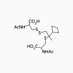 CC(=O)NC(CSSCC(C)(SCC(NC(C)=O)C(=O)O)C1CCC1)C(=O)O